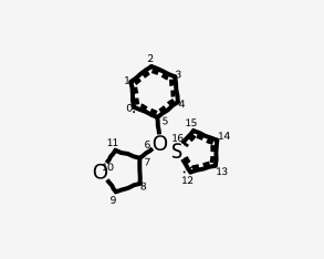 [c]1ccccc1OC1CCOC1.[c]1cccs1